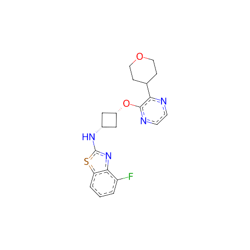 Fc1cccc2sc(N[C@H]3C[C@@H](Oc4nccnc4C4CCOCC4)C3)nc12